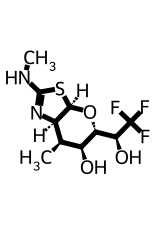 CNC1=N[C@@H]2[C@H](C)[C@H](O)[C@@H]([C@H](O)C(F)(F)F)O[C@@H]2S1